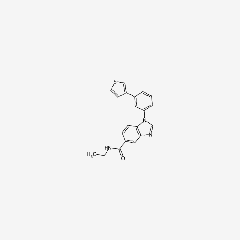 CCNC(=O)c1ccc2c(c1)ncn2-c1cccc(-c2ccsc2)c1